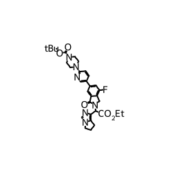 CCOC(=O)C(c1ncn2c1CCC2)N1Cc2c(F)cc(-c3ccc(N4CCN(C(=O)OC(C)(C)C)CC4)nc3)cc2C1=O